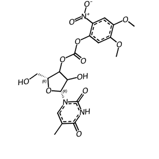 COc1cc(OC(=O)OC2C(O)[C@H](n3cc(C)c(=O)[nH]c3=O)O[C@@H]2CO)c([N+](=O)[O-])cc1OC